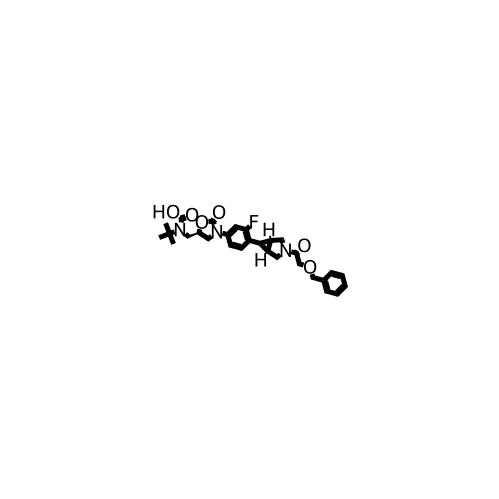 CC(C)(C)N(C[C@@H]1CN(c2ccc(C3[C@H]4CN(C(=O)COCc5ccccc5)C[C@@H]34)c(F)c2)C(=O)O1)C(=O)O